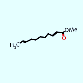 CC=CCCCCCC=CC(=O)OC